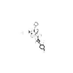 CN(C)C(=O)[C@@H]1CN(C2CCCC2)CC[C@H]1NC(=O)c1cc(-c2ccc(F)cc2F)on1